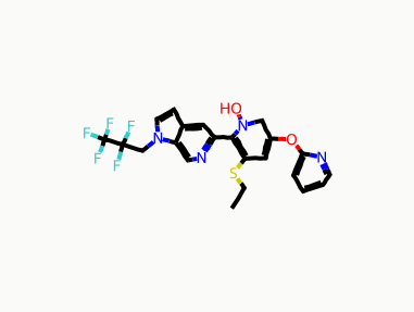 CCSC1=C(c2cc3ccn(CC(F)(F)C(F)(F)F)c3cn2)N(O)CC(Oc2ccccn2)=C1